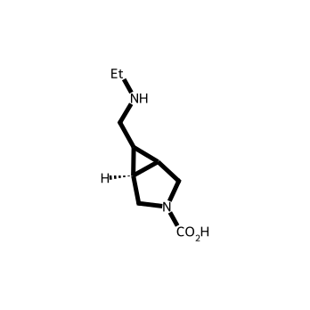 CCNCC1C2CN(C(=O)O)C[C@@H]12